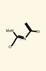 C=C(CC)/N=C(/Cl)NC